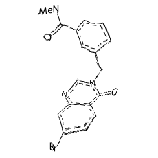 CNC(=O)c1cccc(Cn2cnc3cc(Br)ccc3c2=O)c1